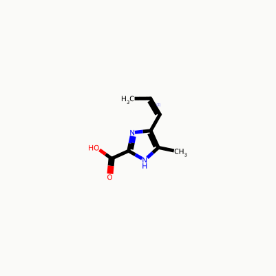 C/C=C\c1nc(C(=O)O)[nH]c1C